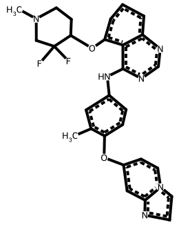 Cc1cc(Nc2ncnc3cccc(OC4CCN(C)CC4(F)F)c23)ccc1Oc1ccn2ccnc2c1